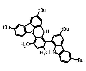 Cc1cc(C)c2c(c1-c1cc(C(C)(C)C)cc3c1[nH]c1ccc(C(C)(C)C)cc13)Bc1cc(C(C)(C)C)cc3c4cc(C(C)(C)C)ccc4n-2c13